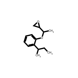 CCC(C)c1ccccc1OC(C)C1CO1